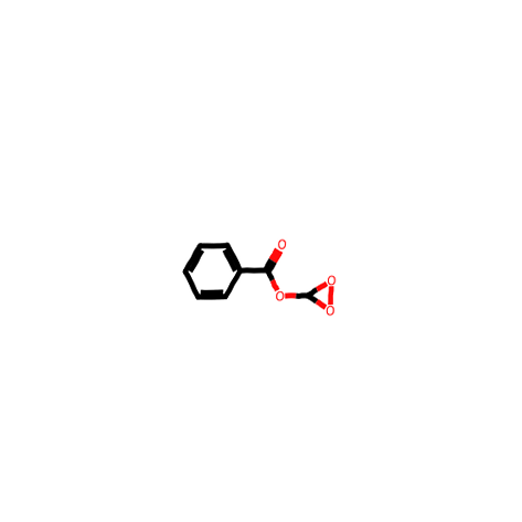 O=C(OC1OO1)c1ccccc1